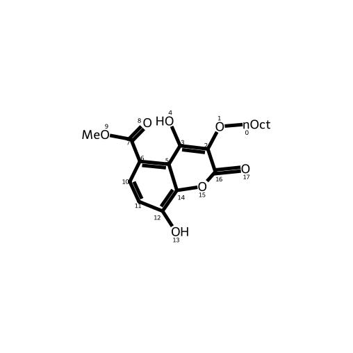 CCCCCCCCOc1c(O)c2c(C(=O)OC)ccc(O)c2oc1=O